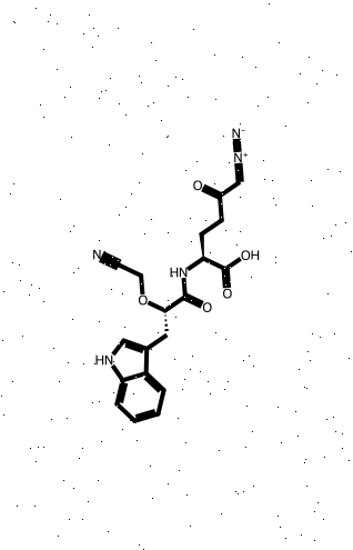 N#CCO[C@@H](Cc1c[nH]c2ccccc12)C(=O)N[C@@H](CCC(=O)C=[N+]=[N-])C(=O)O